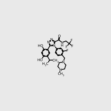 CC(C)c1cc(-c2nnc(C(=O)NCC(F)(F)F)n2-c2ccc(CN3CCN(C)CC3)c(F)c2)c(O)cc1O